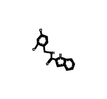 O=C(NCc1ccc(Cl)cc1Cl)c1cc2ccccc2[nH]1